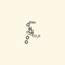 COc1cccc(-c2cc(C(=O)N[C@H](Cc3ccc(-c4ccccc4)cc3)C[C@@H](O)C(=O)O)no2)c1